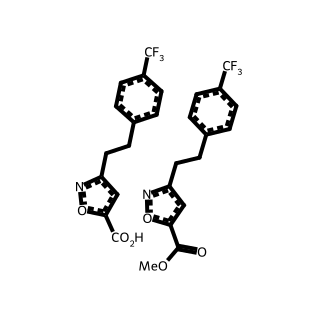 COC(=O)c1cc(CCc2ccc(C(F)(F)F)cc2)no1.O=C(O)c1cc(CCc2ccc(C(F)(F)F)cc2)no1